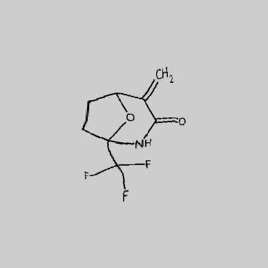 C=C1C(=O)NC2(C(F)(F)F)CCC1O2